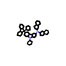 C1=CCCC(n2c3ccc(N(c4ccc5c(c4)CCC=C5)c4ccc5ccccc5c4)cc3c3cc(C4(c5ccccc5)c5ccccc5-c5ccccc54)ccc32)=C1